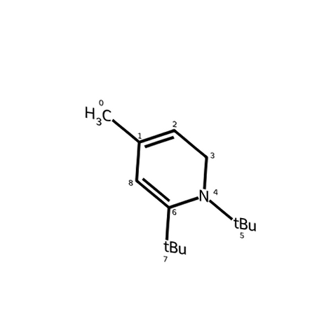 CC1=CCN(C(C)(C)C)C(C(C)(C)C)=C1